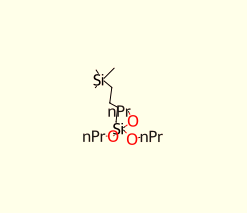 CCCO[Si](CCCC[Si](C)(C)C)(OCCC)OCCC